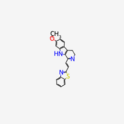 COc1ccc2c3c([nH]c2c1)C(/C=C/c1nc2ccccc2s1)=NCC3